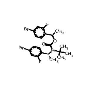 C[C@H](c1ccc(Br)cc1F)N(C(=O)O[C@H](C)c1ccc(Br)cc1F)C(C)(C)C